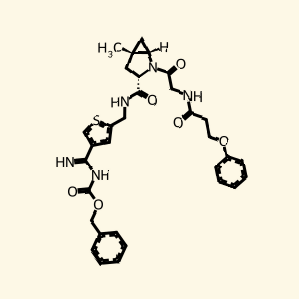 C[C@@]12C[C@@H]1N(C(=O)CNC(=O)CCOc1ccccc1)[C@H](C(=O)NCc1cc(C(=N)NC(=O)OCc3ccccc3)cs1)C2